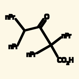 CCCC(CCC)C(=O)C(CCC)(CCC)C(=O)O